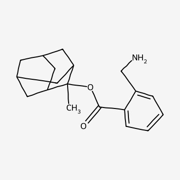 CC1(OC(=O)c2ccccc2CN)C2CC3CC(C2)CC1C3